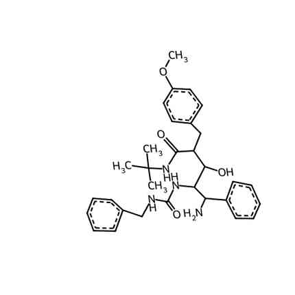 COc1ccc(CC(C(=O)NC(C)(C)C)C(O)C(NC(=O)NCc2ccccc2)C(N)c2ccccc2)cc1